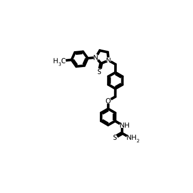 Cc1ccc(N2CCN(Cc3ccc(COc4cccc(NC(N)=S)c4)cc3)C2=S)cc1